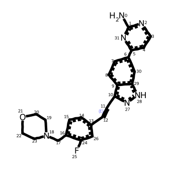 Nc1nccc(-c2ccc3c(/C=C/c4ccc(CN5CCOCC5)c(F)c4)n[nH]c3c2)n1